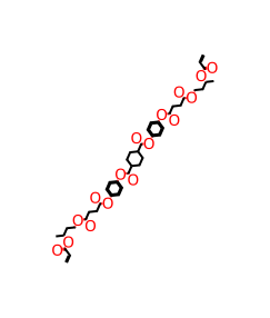 C=CC(=O)OC(C)CCOC(=O)CCC(=O)Oc1ccc(OC(=O)C2CCC(C(=O)Oc3ccc(OC(=O)CCC(=O)OCCC(C)OC(=O)C=C)cc3)CC2)cc1